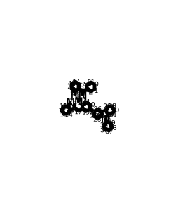 c1ccc(-c2nc(-n3c4nc5ccccc5c-4cc4cc(-c5ccc6c(c5)c5ccccc5n6-c5ccccc5)ccc43)nc3ccccc23)cc1